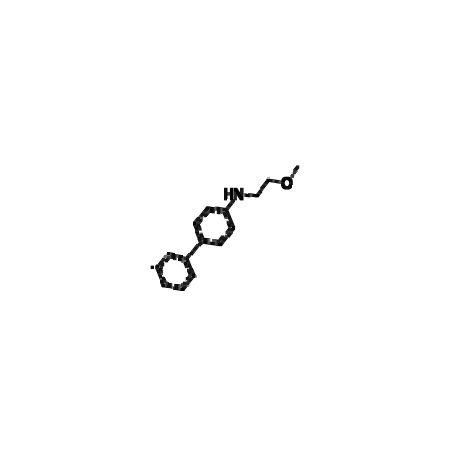 COCCNc1ccc(-c2c[c]ccc2)cc1